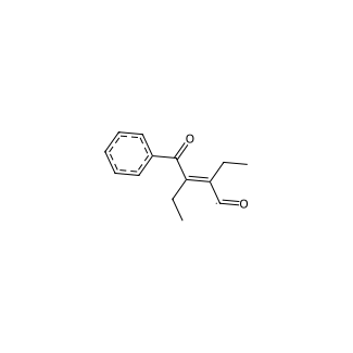 CC/C([C]=O)=C(/CC)C(=O)c1ccccc1